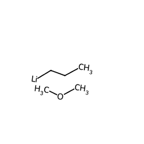 COC.[Li][CH2]CC